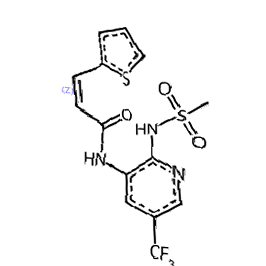 CS(=O)(=O)Nc1ncc(C(F)(F)F)cc1NC(=O)/C=C\c1cccs1